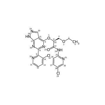 CCOC[C@H](Oc1nc(-c2ncccc2Cl)nc2[nH]ncc12)C(=O)Nc1ccc(Cl)cn1